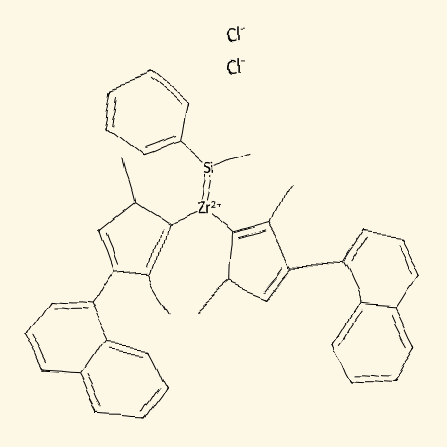 CC1=[C]([Zr+2]([C]2=C(C)C(c3cccc4ccccc34)=CC2C)=[Si](C)c2ccccc2)C(C)C=C1c1cccc2ccccc12.[Cl-].[Cl-]